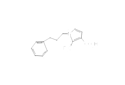 O=C(O)c1ccn(CCCc2ccccc2)c1C(F)(F)F